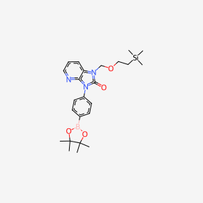 CC1(C)OB(c2ccc(-n3c(=O)n(COCC[Si](C)(C)C)c4cccnc43)cc2)OC1(C)C